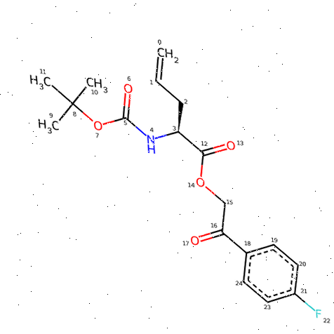 C=CC[C@H](NC(=O)OC(C)(C)C)C(=O)OCC(=O)c1ccc(F)cc1